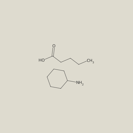 CCCCC(=O)O.NC1CCCCC1